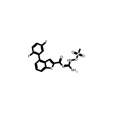 CS(=O)(=O)ONC(N)=NC(=O)c1cc2c(-c3cc(F)ccc3F)cccc2s1